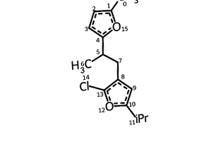 Cc1ccc(C(C)Cc2cc(C(C)C)oc2Cl)o1